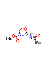 CC(C)(C)OC(=O)N1CCO[C@H](/C=N/[S@@+]([O-])C(C)(C)C)C1